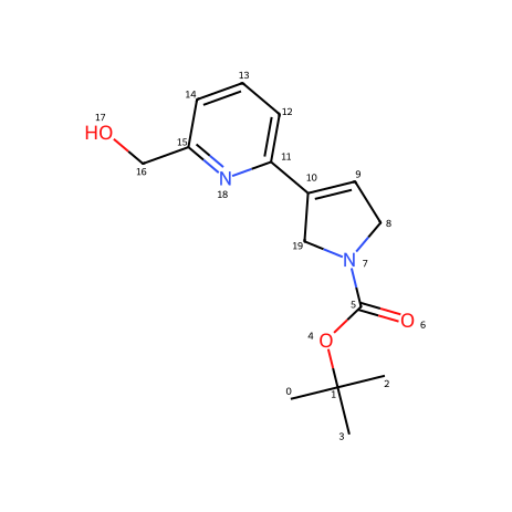 CC(C)(C)OC(=O)N1CC=C(c2cccc(CO)n2)C1